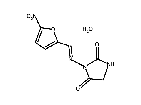 O.O=C1CNC(=O)N1N=Cc1ccc([N+](=O)[O-])o1